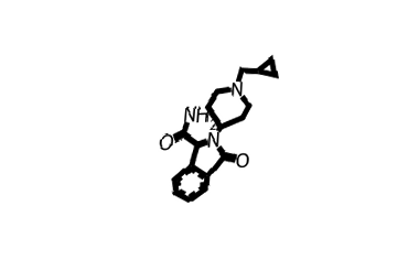 NC(=O)C1c2ccccc2C(=O)N1C1CCN(CC2CC2)CC1